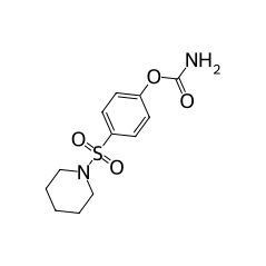 NC(=O)Oc1ccc(S(=O)(=O)N2CCCCC2)cc1